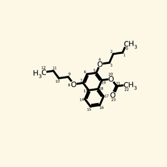 CCCCOc1cc(OCCCC)c2ccccc2c1OC(C)=O